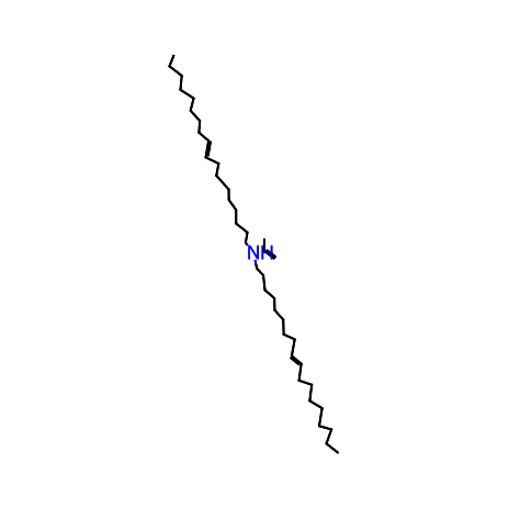 C=CC.CCCCCCCCC=CCCCCCCCCNCCCCCCCCC=CCCCCCCCC